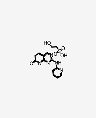 O=C1CC=c2cnc(Nc3ccccn3)nc2=N1.O=S(=O)(O)CCO